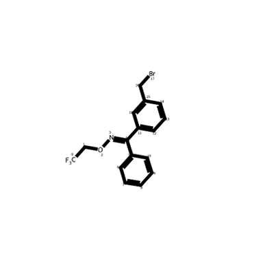 FC(F)(F)CO/N=C(\c1ccccc1)c1cccc(CBr)c1